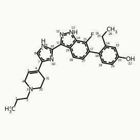 CCCN1CC=C(c2c[nH]c(-c3n[nH]c4c(F)c(-c5ccc(O)cc5CC)ccc34)n2)CC1